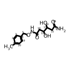 Cc1ccc(CONC(=O)CC(O)C(O)CC(N)=O)cc1